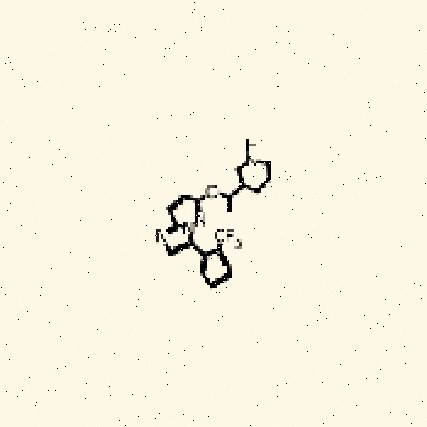 CC(Oc1ccc2ncc(-c3ccccc3C(F)(F)F)n2n1)C1CCCNC1